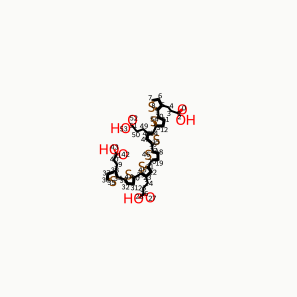 O=C(O)CCc1ccsc1-c1ccc(-c2sc(-c3ccc(-c4cc(CCC(=O)O)c(-c5ccc(-c6sccc6CCC(=O)O)s5)s4)s3)cc2CCC(=O)O)s1